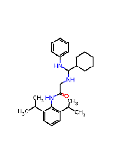 CC(C)c1cccc(C(C)C)c1NC(=O)CNC(Nc1ccccc1)C1CCCCC1